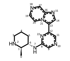 C[C@H]1NCCC[C@@H]1Nc1cncc(-c2cnc3cnccn23)n1